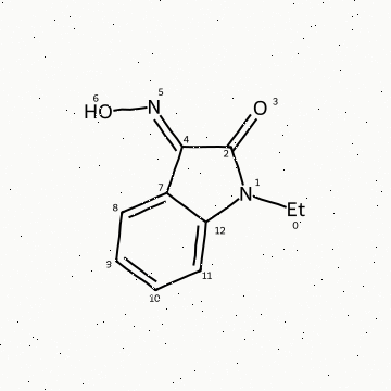 CCN1C(=O)/C(=N/O)c2ccccc21